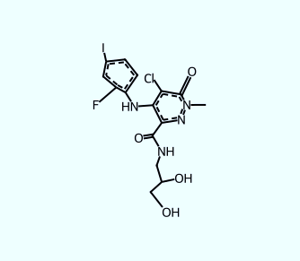 Cn1nc(C(=O)NCC(O)CO)c(Nc2ccc(I)cc2F)c(Cl)c1=O